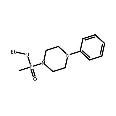 CCOP(C)(=O)N1CCN(c2ccccc2)CC1